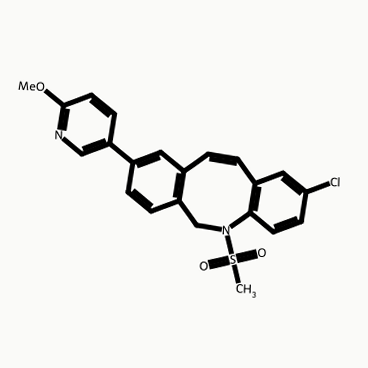 COc1ccc(-c2ccc3c(c2)C=Cc2cc(Cl)ccc2N(S(C)(=O)=O)C3)cn1